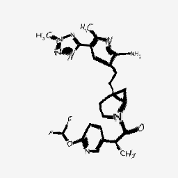 Cc1nc(N)c(CC[C@]23CCN(C(=O)[C@@H](C)c4ccc(OC(F)F)nc4)C2C3)cc1-c1nnn(C)n1